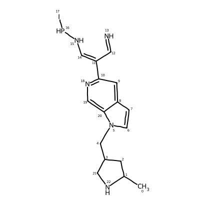 CC1CC(Cn2ccc3cc(/C(C=N)=C/NPI)ncc32)CN1